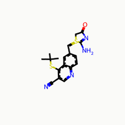 CC(C)(C)Sc1c(C#N)cnc2ccc(/C=S3/CC(=O)N=C3N)cc12